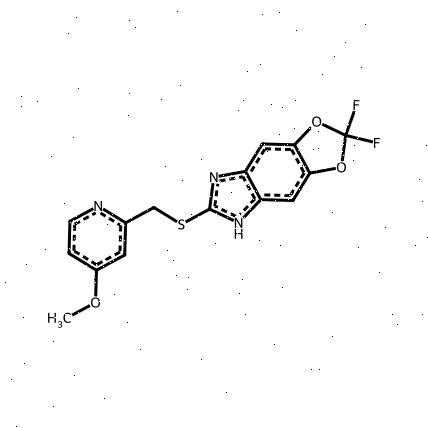 COc1ccnc(CSc2nc3cc4c(cc3[nH]2)OC(F)(F)O4)c1